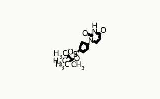 CC1(C)OB(c2ccc(-n3ccc(=O)[nH]c3=O)cc2)OC1(C)C